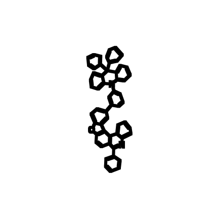 c1ccc(-c2nc3ccccc3c3c2ccc2oc4ccc(-c5cccc(N6c7ccccc7C(c7ccccc7)(c7ccccc7)c7ccccc76)c5)cc4c23)cc1